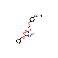 CC(C)[C@H](NC(=O)OCc1ccccc1)C(=O)OCCOc1ccc(C(=O)O)cc1